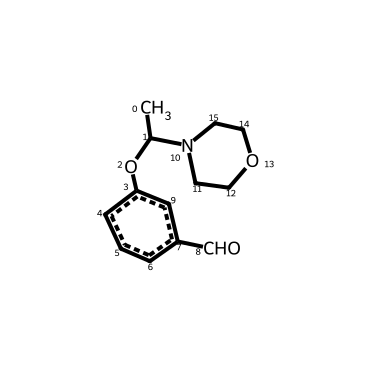 CC(Oc1cccc(C=O)c1)N1CCOCC1